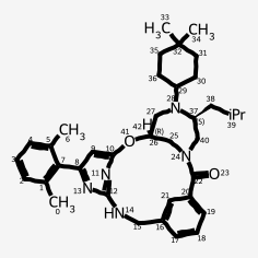 Cc1cccc(C)c1-c1cc2nc(n1)NCc1cccc(c1)C(=O)N1C[C@@H](CN(C3CCC(C)(C)CC3)[C@@H](CC(C)C)C1)O2